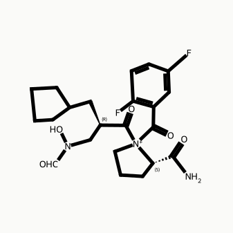 NC(=O)[C@@H]1CCC[N+]1(C(=O)c1cc(F)ccc1F)C(=O)[C@H](CC1CCCC1)CN(O)C=O